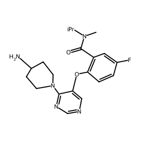 CC(C)N(C)C(=O)c1cc(F)ccc1Oc1cncnc1N1CCC(N)CC1